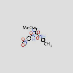 COc1ccc2oc(C(=O)Nc3ccc(C)cc3)c(NC(=O)[C@H]3CC[C@H](N4CCOCC4=O)CC3)c2n1